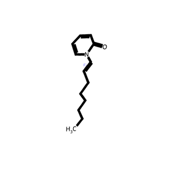 CCCCCC/C=C/n1ccccc1=O